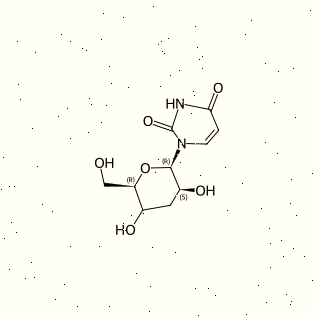 O=c1ccn([C@@H]2O[C@H](CO)C(O)C[C@@H]2O)c(=O)[nH]1